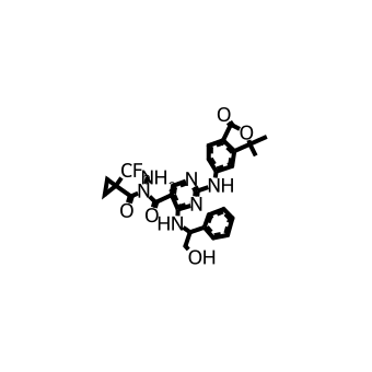 CC1(C)OC(=O)c2ccc(Nc3ncc(C(=O)N(N)C(=O)C4(C(F)(F)F)CC4)c(NC(CO)c4ccccc4)n3)cc21